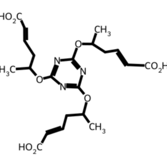 CC(CC=CC(=O)O)Oc1nc(OC(C)CC=CC(=O)O)nc(OC(C)CC=CC(=O)O)n1